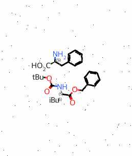 CC[C@H](C)[C@H](NC(=O)OC(C)(C)C)C(=O)OCc1ccccc1.N[C@@H](Cc1ccccc1)C(=O)O